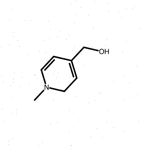 CN1C=CC(CO)=CC1